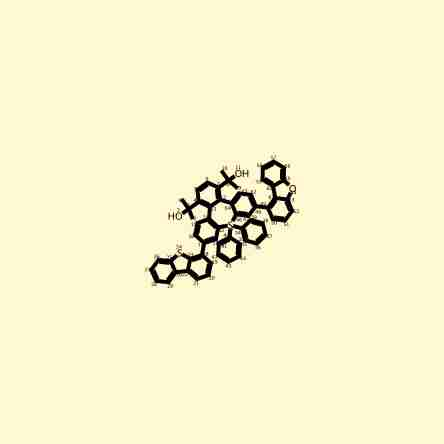 CC(C)(O)c1ccc(C(C)(C)O)c2c1-c1ccc(-c3cccc4c3sc3ccccc34)cc1S(c1ccccc1)(c1ccccc1)c1cc(-c3cccc4oc5ccccc5c34)ccc1-2